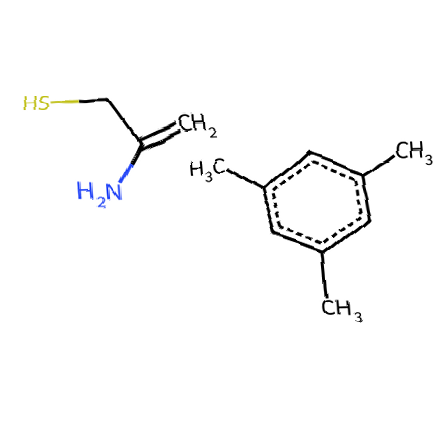 C=C(N)CS.Cc1cc(C)cc(C)c1